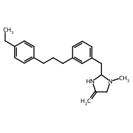 C=C1CN(C)C(Cc2cccc(CCCc3ccc(CC)cc3)c2)N1